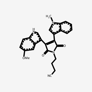 COc1ccc2[nH]cc(C3=C(c4cn(C)c5ccccc45)C(=O)N(CCCC#N)C3=O)c2c1